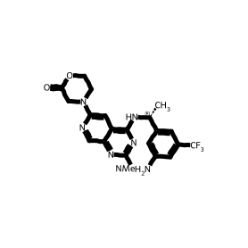 CNc1nc(N[C@H](C)c2cc(N)cc(C(F)(F)F)c2)c2cc(N3CCOC(=O)C3)ncc2n1